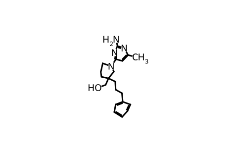 Cc1cc(N2CCCC(CO)(CCCc3ccccc3)C2)nc(N)n1